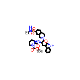 CCNS(=O)(=O)c1ccc2c(c1)CN(C(=O)C(Cc1c[nH]c3ccccc13)NC(=O)C1CCCCN1C(=O)OC(C)(C)C)CC2